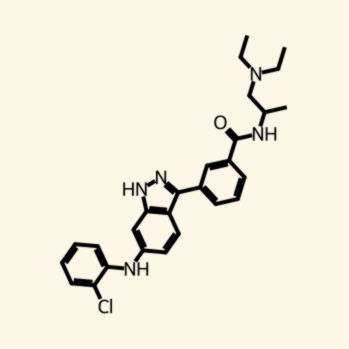 CCN(CC)CC(C)NC(=O)c1cccc(-c2n[nH]c3cc(Nc4ccccc4Cl)ccc23)c1